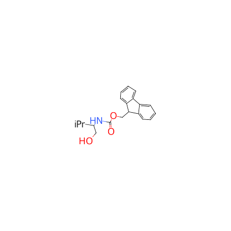 CC(C)C(CO)NC(=O)OCC1c2ccccc2-c2ccccc21